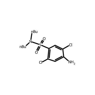 CCCCN(CCCC)S(=O)(=O)c1cc(Cl)c(N)cc1Cl